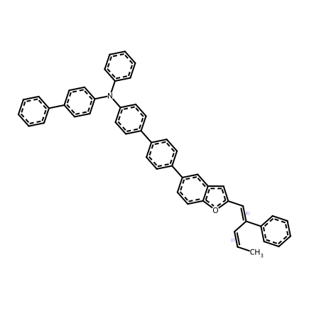 C/C=C\C(=C/c1cc2cc(-c3ccc(-c4ccc(N(c5ccccc5)c5ccc(-c6ccccc6)cc5)cc4)cc3)ccc2o1)c1ccccc1